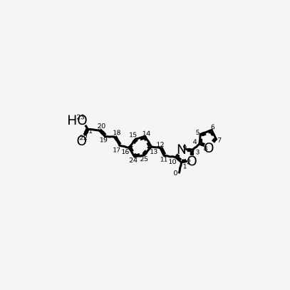 Cc1oc(-c2ccco2)nc1C=Cc1ccc(C=CC=CC(=O)O)cc1